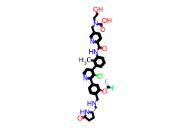 Cc1c(NC(=O)c2ccc(CN(CCO)C(=O)O)cn2)cccc1-c1ccnc(-c2ccc(CNC[C@@H]3CCC(=O)N3)c(OC(F)F)c2)c1Cl